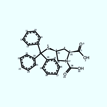 O=C(O)[C@@H]1C[C@H](SC(c2ccccc2)(c2ccccc2)c2ccccc2)CN1C(=O)O